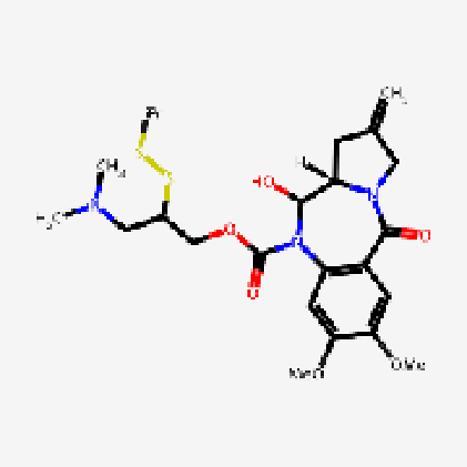 C=C1C[C@H]2C(O)N(C(=O)OCC(CN(C)C)SSC(C)C)c3cc(OC)c(OC)cc3C(=O)N2C1